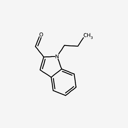 CCCn1c(C=O)cc2ccccc21